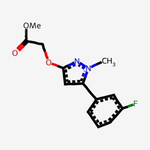 COC(=O)COc1cc(-c2cccc(F)c2)n(C)n1